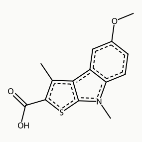 COc1ccc2c(c1)c1c(C)c(C(=O)O)sc1n2C